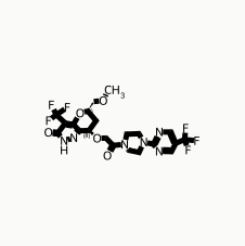 COC[C@@H]1C[C@@H](OCC(=O)N2CCN(c3ncc(C(F)(F)F)cn3)CC2)c2n[nH]c(=O)c(C(F)(F)F)c2O1